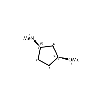 CN[C@@H]1CC[C@H](OC)C1